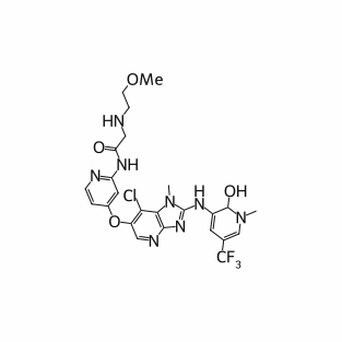 COCCNCC(=O)Nc1cc(Oc2cnc3nc(NC4=CC(C(F)(F)F)=CN(C)C4O)n(C)c3c2Cl)ccn1